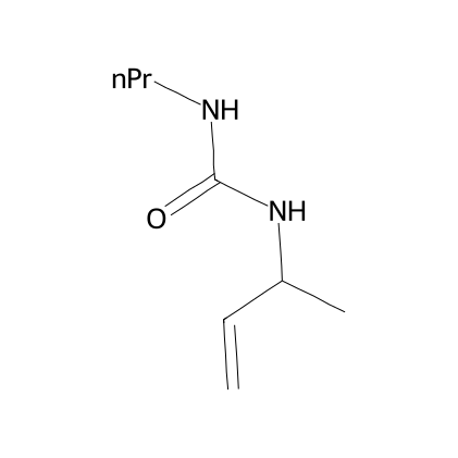 C=CC(C)NC(=O)NCCC